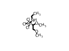 CC[NH][Nb]([Cl])([Cl])([Cl])[CH](COC)OC